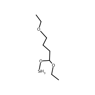 CCOCCCC(O[SiH3])OCC